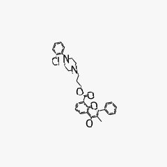 Cc1c(-c2ccccc2)oc2c(C(=O)OCCCN3CCN(c4ccccc4Cl)CC3)cccc2c1=O